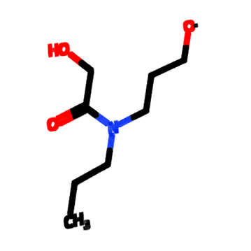 CCCN(CCC[O])C(=O)CO